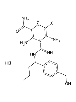 CCCC(NC(=N)N1C(N)=C(Cl)NC(C(N)=O)=C1N)c1ccc(CO)cc1.Cl